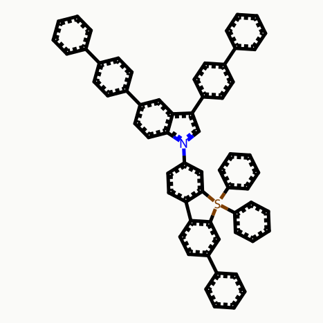 c1ccc(-c2ccc(-c3ccc4c(c3)c(-c3ccc(-c5ccccc5)cc3)cn4-c3ccc4c(c3)S(c3ccccc3)(c3ccccc3)c3cc(-c5ccccc5)ccc3-4)cc2)cc1